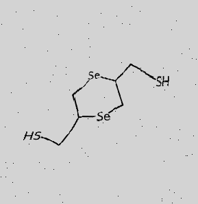 SCC1C[Se]C(CS)C[Se]1